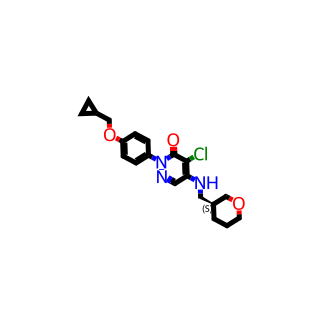 O=c1c(Cl)c(NC[C@@H]2CCCOC2)cnn1-c1ccc(OCC2CC2)cc1